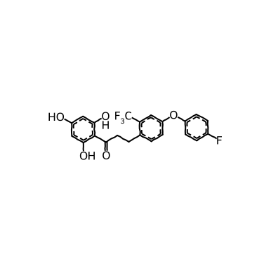 O=C(CCc1ccc(Oc2ccc(F)cc2)cc1C(F)(F)F)c1c(O)cc(O)cc1O